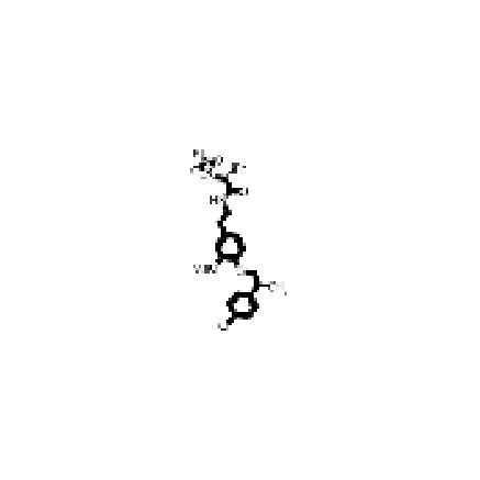 CCS(=O)(=O)N[C@@H](C(=O)NCCc1ccc(OC[C@@H](C)c2ccc(Cl)cc2)c(OC)c1)C(C)C